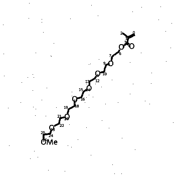 C=C(C)C(=O)OCCOCCOCCOCCOCCOCCOCCOC